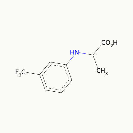 CC(Nc1cccc(C(F)(F)F)c1)C(=O)O